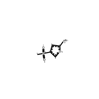 CC[CH]c1cc(S(C)(=O)=O)co1